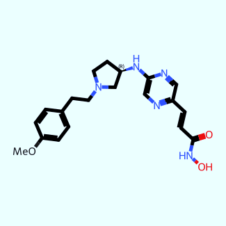 COc1ccc(CCN2CC[C@@H](Nc3cnc(C=CC(=O)NO)cn3)C2)cc1